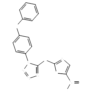 O=[N+]([O-])c1cnc(Sc2nnnn2-c2ccc(Oc3ccccc3)cc2)s1